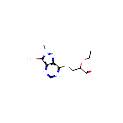 CCOC(C=O)CSc1ncnc2c(O)n(C)nc12